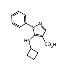 O=C(O)c1cnn(-c2ccccc2)c1NC1CCC1